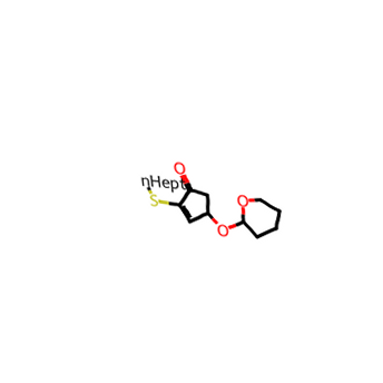 CCCCCCCSC1=CC(OC2CCCCO2)CC1=O